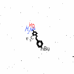 CCCCc1ccc(CCc2ccc(/C(N)=N/O)cc2C(F)(F)F)cc1